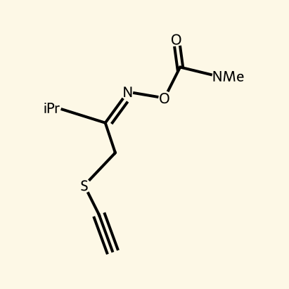 C#CSCC(=NOC(=O)NC)C(C)C